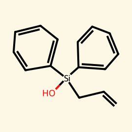 C=CC[Si](O)(c1ccccc1)c1ccccc1